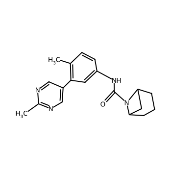 Cc1ncc(-c2cc(NC(=O)N3C4CCCC3C4)ccc2C)cn1